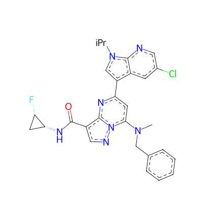 CC(C)n1cc(-c2cc(N(C)Cc3ccccc3)n3ncc(C(=O)N[C@@H]4C[C@@H]4F)c3n2)c2cc(Cl)cnc21